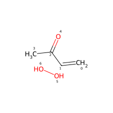 C=CC(C)=O.OO